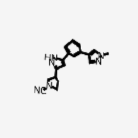 Cn1cc(-c2cccc(-c3cc(C4CCN(C#N)C4)n[nH]3)c2)cn1